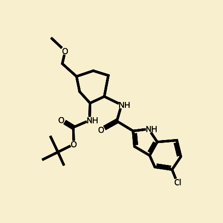 COCC1CCC(NC(=O)c2cc3cc(Cl)ccc3[nH]2)C(NC(=O)OC(C)(C)C)C1